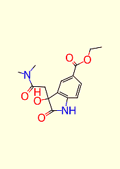 CCOC(=O)c1ccc2c(c1)C(O)(CC(=O)N(C)C)C(=O)N2